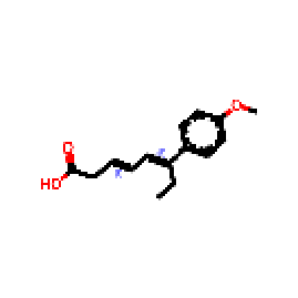 CC/C(=C\C=C\CC(=O)O)c1ccc(OC)cc1